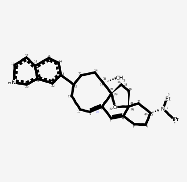 CCN(C(C)C)[C@@H]1CCC2=C/C3=C/CCC(c4ccc5ccncc5c4)CC[C@H](C)[C@@]34CC[C@]2(C1)O4